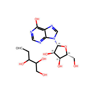 O=CCC(O)C(O)CO.OC[C@H]1O[C@@H](n2cnc3c(O)ncnc32)[C@H](O)[C@@H]1O